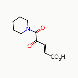 O=C(O)/C=C/C(=O)C(=O)N1CCCCC1